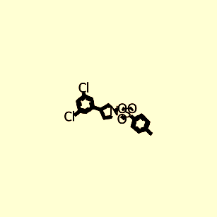 Cc1ccc(S(=O)(=O)ON2CCC(c3cc(Cl)cc(Cl)c3)C2)cc1